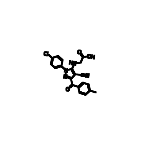 Cc1ccc(C(=O)c2nn(-c3ccc(Cl)cc3)c(NCC(=O)O)c2C#N)cc1